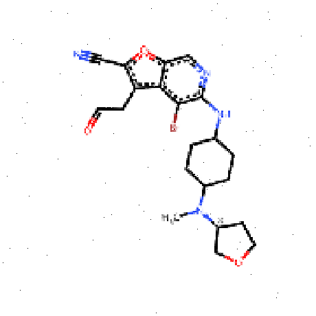 CN(C1CCC(Nc2ncc3oc(C#N)c(CC=O)c3c2Br)CC1)[C@H]1CCOC1